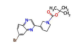 CC(C)(C)OC(=O)N1CCC=C(c2cnc3ccc(Br)cc3n2)C1